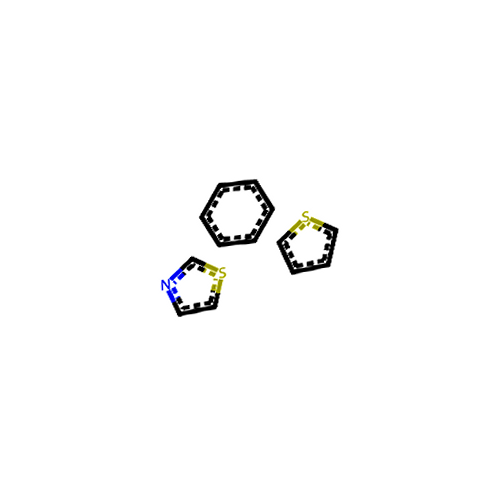 c1ccccc1.c1ccsc1.c1cscn1